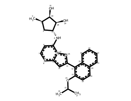 [CH2][C@@H]1C[C@@H](Nc2ccnc3cc(-c4c(OC(C)C)ccc5ccccc45)nn23)[C@H](O)[C@@H]1O